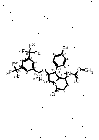 COC(=O)NC1CCC(=O)N2CC(O[C@H](C)c3cc(C(F)(F)F)cc(C(F)(F)F)c3)[C@@H](c3ccc(F)cc3)C12